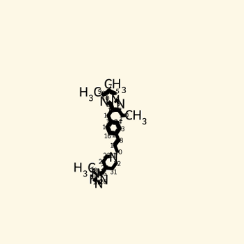 CCc1nn2cc(C)c(C)nc2c1Cc1ccc(C=CCN2CCC(c3nnnn3C)CC2)cc1